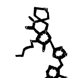 CCCCOc1c2n(cc(-c3nnc(Cc4ccc(F)cc4F)s3)c1=O)CC1(CCNCC1)N(C)C2=O